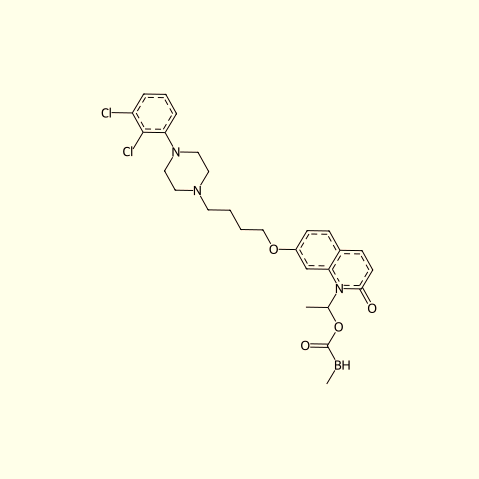 CBC(=O)OC(C)n1c(=O)ccc2ccc(OCCCCN3CCN(c4cccc(Cl)c4Cl)CC3)cc21